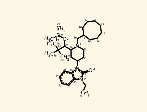 CCn1c(=O)n(C2CCN(CC3CCCCCCC3)C(C(O[SiH](C)C)C(C)(C)C)C2)c2ccccc21